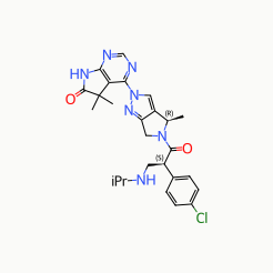 CC(C)NC[C@@H](C(=O)N1Cc2nn(-c3ncnc4c3C(C)(C)C(=O)N4)cc2[C@H]1C)c1ccc(Cl)cc1